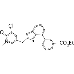 CCOC(=O)c1cccc(-c2cccc3cc(Cc4cc(Cl)c(=O)n(C)c4)sc23)c1